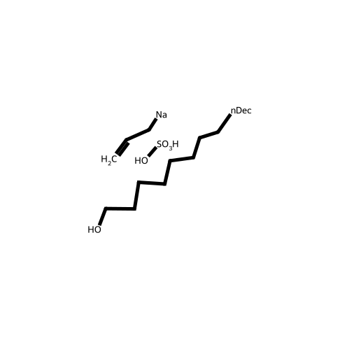 C=C[CH2][Na].CCCCCCCCCCCCCCCCCCO.O=S(=O)(O)O